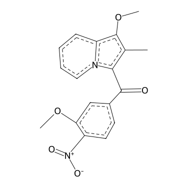 COc1cc(C(=O)c2c(C)c(OC)c3ccccn23)ccc1[N+](=O)[O-]